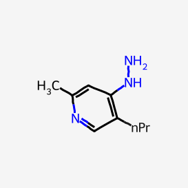 CCCc1cnc(C)cc1NN